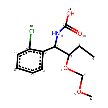 CCC(OCOC)C(NC(=O)O)c1ccccc1Cl